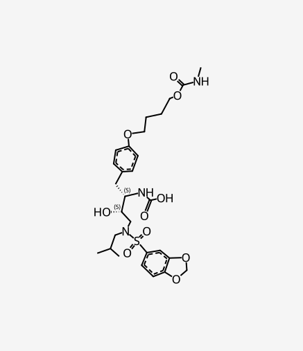 CNC(=O)OCCCCOc1ccc(C[C@H](NC(=O)O)[C@@H](O)CN(CC(C)C)S(=O)(=O)c2ccc3c(c2)OCO3)cc1